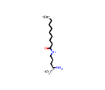 CCCCCCCCCCCCCCCCCC(=O)NCCC[C@H](N)C(=O)O